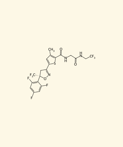 Cc1cc(C2=NO[C@](c3c(F)cc(F)cc3F)(C(F)(F)F)C2)sc1C(=O)NCC(=O)NCC(F)(F)F